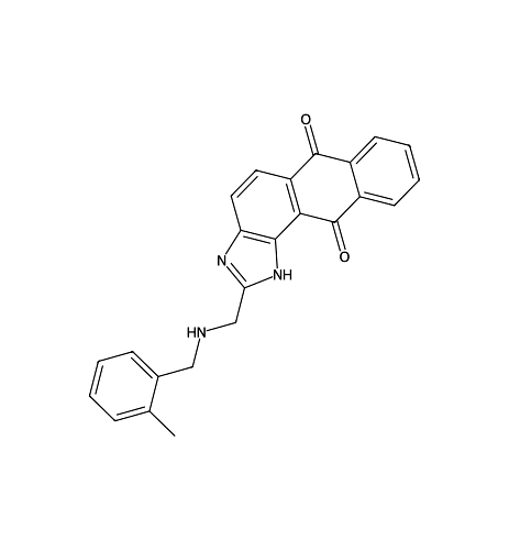 Cc1ccccc1CNCc1nc2ccc3c(c2[nH]1)C(=O)c1ccccc1C3=O